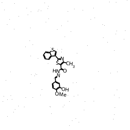 COc1ccc(/C=N/NC(=O)c2sc(-c3csc4ccccc34)nc2C)cc1O